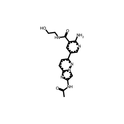 CC(=O)Nc1cn2nc(-c3cnc(N)c(C(=O)NCCO)c3)ccc2n1